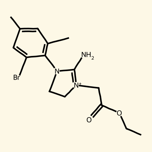 CCOC(=O)C[N+]1=C(N)N(c2c(C)cc(C)cc2Br)CC1